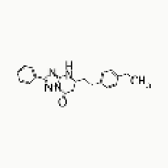 CCc1ccc(CCC2CC(=O)n3nc(-c4ccccc4)nc3N2)cc1